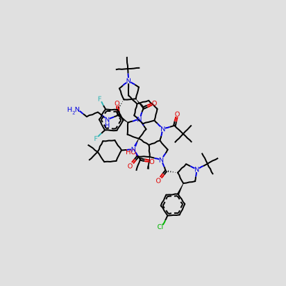 CCC1CCC(N(C(=O)C(C)(C)C)C2CN(C(=O)[C@@H]3CN(C(C)(C)C)C[C@H]3c3ccc(Cl)cc3)[C@](C)(C(=O)O)C2[C@]2(N(C(C)=O)C3CCC(C)(C)CC3)C[C@@H](C(=O)NCCN)N(C(=O)[C@@H]3CN(C(C)(C)C)C[C@H]3c3ccc(F)cc3F)C2)CC1